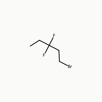 CCC(F)(F)CCBr